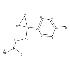 CC(=O)N(C)CCC1(c2ccc(C)cc2)CC1